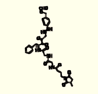 CC1CC(=O)N(CCCC(=O)NCC(=O)NCC(=O)N[C@@H](Cc2ccccc2)C(=O)C(=O)CNNc2ccc(COC=O)cc2)C1=O